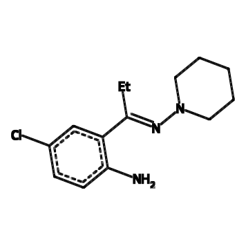 CC/C(=N\N1CCCCC1)c1cc(Cl)ccc1N